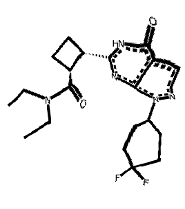 CCN(CC)C(=O)[C@H]1CC[C@@H]1c1nc2c(cnn2C2CCC(F)(F)CC2)c(=O)[nH]1